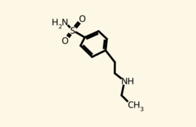 CCNCCc1ccc(S(N)(=O)=O)cc1